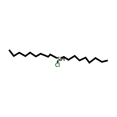 CCCCCCCCC[SiH](Cl)CCCCCCCCC